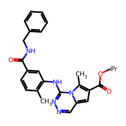 Cc1ccc(C(=O)NCc2ccccc2)cc1Nc1nncc2cc(C(=O)OC(C)C)c(C)n12